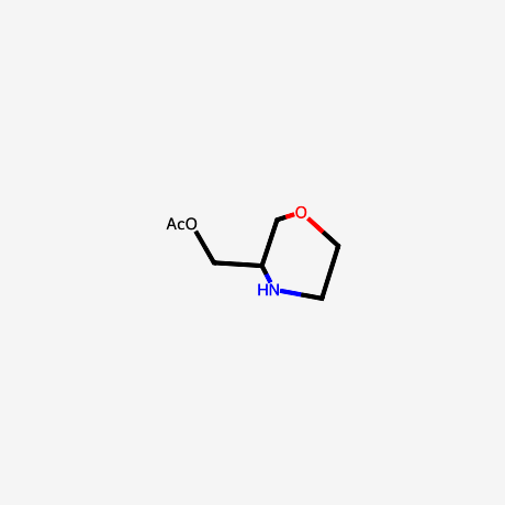 CC(=O)OCC1COCCN1